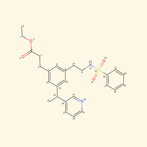 CCOC(=O)CCc1cc(CCNS(=O)(=O)c2ccccc2)cc(C(C)c2cccnc2)c1